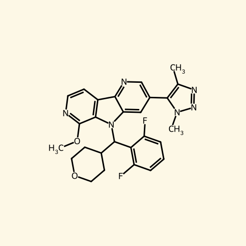 COc1nccc2c3ncc(-c4c(C)nnn4C)cc3n(C(c3c(F)cccc3F)C3CCOCC3)c12